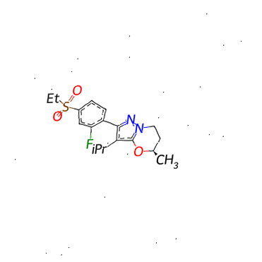 CCS(=O)(=O)c1ccc(-c2nn3c(c2C(C)C)O[C@H](C)CC3)c(F)c1